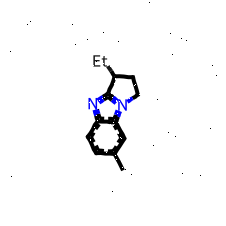 CCC1CCn2c1nc1ccc(C)cc12